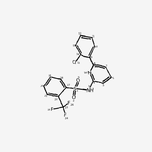 O=S(=O)(Nc1cccc(-c2ccccc2Cl)n1)c1ccccc1C(F)(F)F